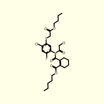 CCCCCOC(=O)C1=C(C(=O)N(C(=O)CCl)c2cc(SCC(=O)OCCCC)c(Cl)cc2F)CCCC1